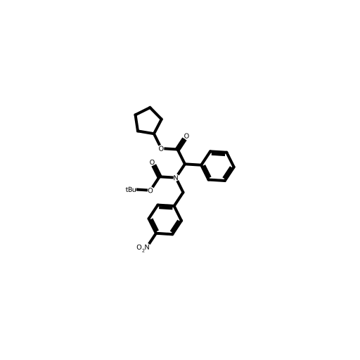 CC(C)(C)OC(=O)N(Cc1ccc([N+](=O)[O-])cc1)C(C(=O)OC1CCCC1)c1ccccc1